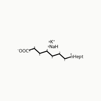 CCCCCCCCCCCCCC(=O)[O-].[K+].[NaH]